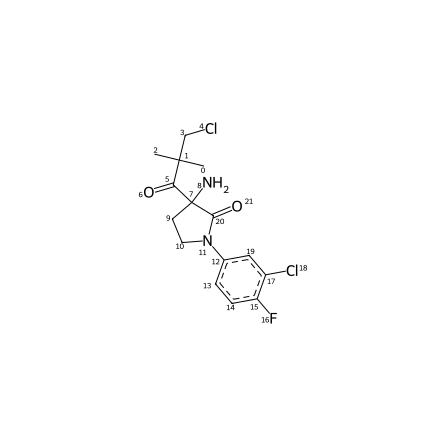 CC(C)(CCl)C(=O)C1(N)CCN(c2ccc(F)c(Cl)c2)C1=O